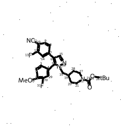 COc1ccc(-c2c(-c3ccc(C#N)c(F)c3)cnn2CC2CCN(C(=O)OC(C)(C)C)CC2)cc1F